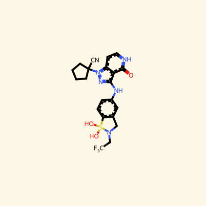 N#CC1(n2nc(Nc3ccc4c(c3)CN(CC(F)(F)F)S4(O)O)c3c(=O)[nH]ccc32)CCCC1